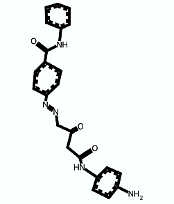 Nc1ccc(NC(=O)CC(=O)CN=Nc2ccc(C(=O)Nc3ccccc3)cc2)cc1